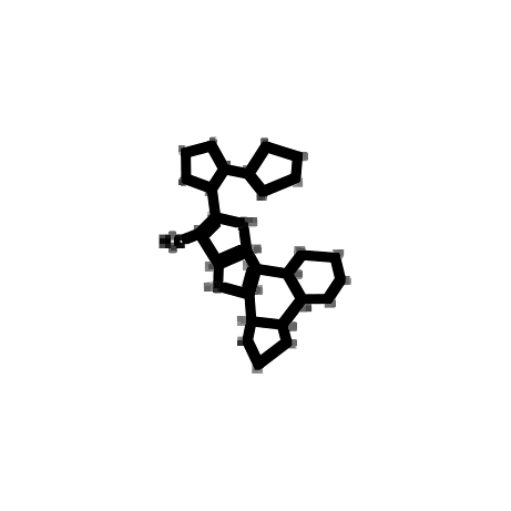 Cc1c(C2CCCC2C2CCCC2)sc2c3c(sc12)C1CCCC1C1CCCCC31